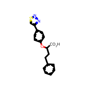 O=C(O)C(CCc1ccccc1)Oc1ccc(-c2csnn2)cc1